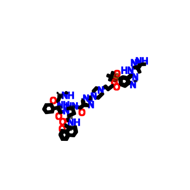 CN[C@@H](C)C(=O)N[C@H](C(=O)N1C[C@@H](NC(=O)c2cnc(N3CCN(CCCOc4cc5ncnc(Nc6n[nH]c(C)c6C)c5cc4S(=O)(=O)C(C)(C)C)CC3)nc2)C[C@H]1C(=O)N[C@]1(C=O)C=CCc2ccccc21)C1CCCCC1